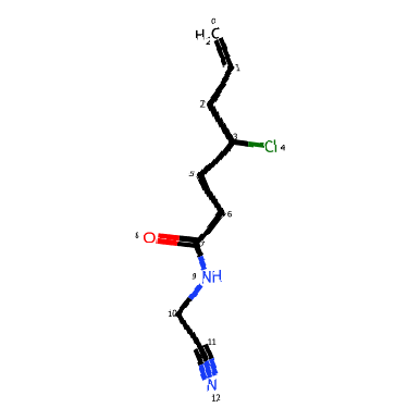 C=CCC(Cl)CCC(=O)NCC#N